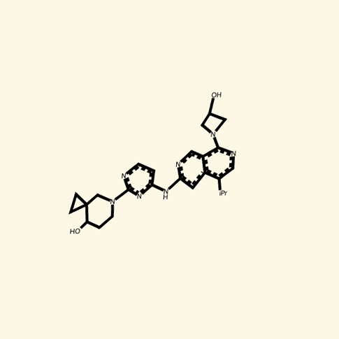 CC(C)c1cnc(N2CC(O)C2)c2cnc(Nc3ccnc(N4CCC(O)C5(CC5)C4)n3)cc12